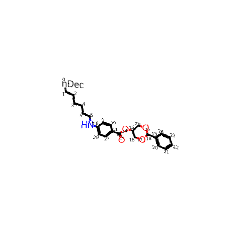 CCCCCCCCCCCCCCCCNc1ccc(C(=O)OC2COC(c3ccccc3)OC2)cc1